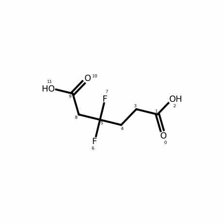 O=C(O)CCC(F)(F)CC(=O)O